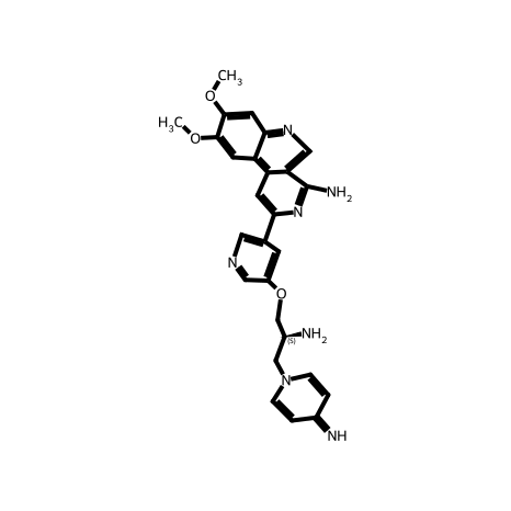 COc1cc2ncc3c(N)nc(-c4cncc(OC[C@@H](N)Cn5ccc(=N)cc5)c4)cc3c2cc1OC